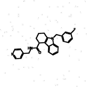 O=C(NCc1ccncc1)C1CCCc2c1c1ccccc1n2Cc1cccc(F)c1